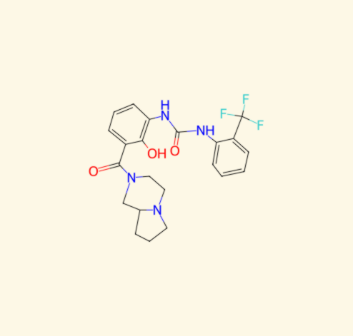 O=C(Nc1ccccc1C(F)(F)F)Nc1cccc(C(=O)N2CCN3CCCC3C2)c1O